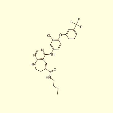 COCCNC(=O)C1=Cc2c(ncnc2Nc2ccc(Oc3cccc(C(F)(F)F)c3)c(Cl)c2)NCC1